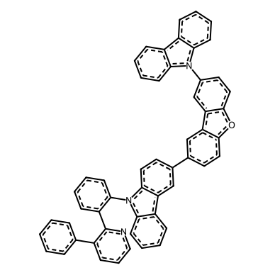 c1ccc(-c2cccnc2-c2ccccc2-n2c3ccccc3c3cc(-c4ccc5oc6ccc(-n7c8ccccc8c8ccccc87)cc6c5c4)ccc32)cc1